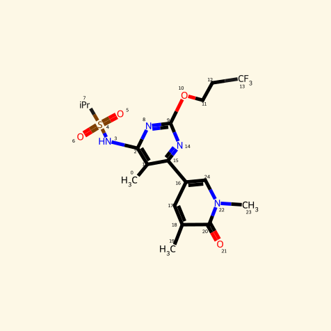 Cc1c(NS(=O)(=O)C(C)C)nc(OCCC(F)(F)F)nc1-c1cc(C)c(=O)n(C)c1